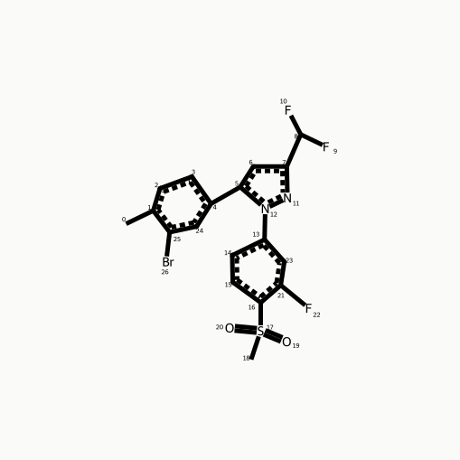 Cc1ccc(-c2cc(C(F)F)nn2-c2ccc(S(C)(=O)=O)c(F)c2)cc1Br